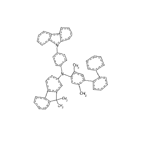 Cc1cc(N(c2ccc(-n3c4ccccc4c4ccccc43)cc2)c2ccc3c(c2)C(C)(C)c2ccccc2-3)c(C)cc1-c1ccccc1-c1ccccc1